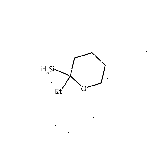 [CH2]CC1([SiH3])CCCCO1